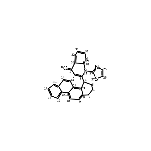 O=c1cc(C2CCCc3ccc4c(ccc5ccccc54)c32)n(-c2nccs2)c2ncccc12